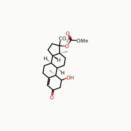 COC(=O)OC1(C(=O)O)CC[C@H]2[C@@H]3CCC4=CC(=O)CC(O)[C@]4(C)[C@@H]3CC[C@@]21C